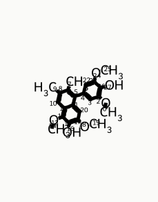 COc1cc(-c2c(C)c(C)cc3c(OC)c(O)c(OC)cc23)cc(OC)c1O